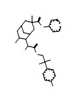 CC1CC2CC(CC(C)(C(=O)Nc3ccncc3)C2)C1C(N)C(=S)NCC(C)(C)c1ccc(F)cc1